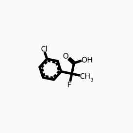 CC(F)(C(=O)O)c1cccc(Cl)c1